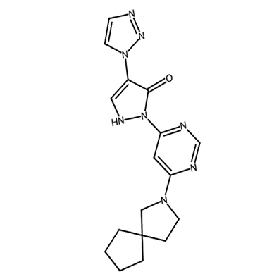 O=c1c(-n2ccnn2)c[nH]n1-c1cc(N2CCC3(CCCC3)C2)ncn1